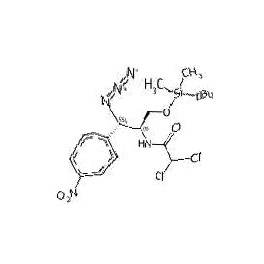 CC(C)(C)[Si](C)(C)OC[C@@H](NC(=O)C(Cl)Cl)[C@@H](N=[N+]=[N-])c1ccc([N+](=O)[O-])cc1